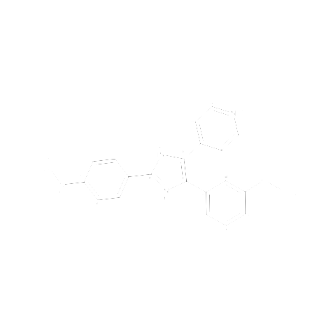 COc1cccc(-c2nc(-c3ccc(SC)cc3)[nH]c2-c2ccncc2)c1